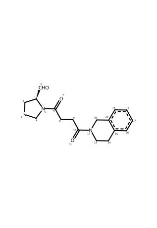 O=C[C@@H]1CSCN1C(=O)CCC(=O)N1CCc2ccccc2C1